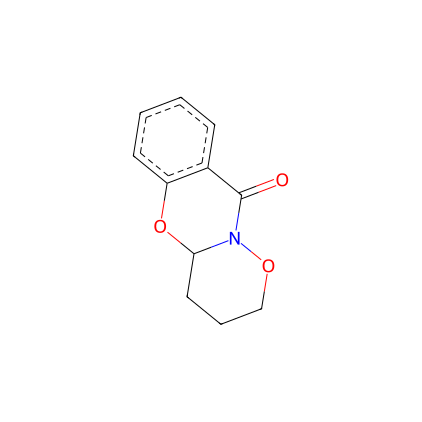 O=C1c2ccccc2OC2CCCON12